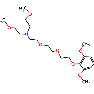 COCCN(CCOC)CCOCCOCCOc1c(OC)cccc1OC